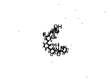 COc1cc(-c2cccc(-c3cccc(NC(=O)c4ccccn4)c3C)c2C)cc(F)c1CNCC(=O)O